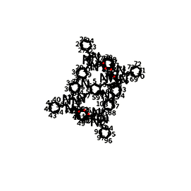 Cc1cc(-c2cc(-n3c4cc(-c5nc(-c6ccccc6)nc(-c6ccccc6)n5)ccc4c4ccc(-c5nc(-c6ccccc6)nc(-c6ccccc6)n5)cc43)c(C#N)cc2-n2c3cc(-c4nc(-c5ccccc5)nc(-c5ccccc5)n4)ccc3c3ccc(-c4nc(-c5ccccc5)nc(-c5ccccc5)n4)cc32)nc(C)n1